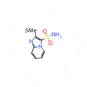 CSc1nc2ccccn2c1S(N)(=O)=O